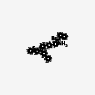 Nc1ccc(-c2ccc(-c3cccc(N(c4ccc(-c5ccccc5)cc4)c4ccc5c(c4)sc4ccccc45)c3)cc2)cc1/C(Br)=C/c1cccc2ccccc12